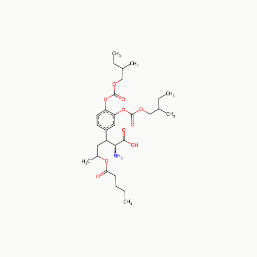 CCCCC(=O)OC(C)CC(c1ccc(OC(=O)OCC(C)CC)c(OC(=O)OCC(C)CC)c1)[C@H](N)C(=O)O